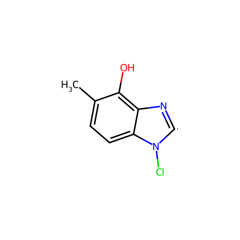 Cc1ccc2c(n[c]n2Cl)c1O